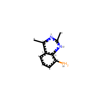 Cc1nc(C)c2cccc(P)c2n1